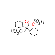 O=C(O)CC(C(=O)OS(=O)(=O)O)(C1CCCCC1)C1CCCCC1